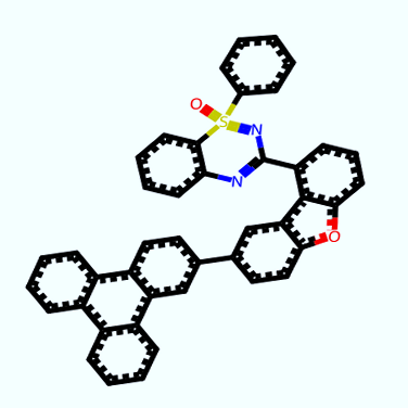 O=S1(c2ccccc2)=NC(c2cccc3oc4ccc(-c5ccc6c7ccccc7c7ccccc7c6c5)cc4c23)=Nc2ccccc21